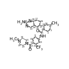 Cc1ccc(C(=O)Nc2ccc(C(=O)N3CCN(C)CC3)c(C(F)(F)F)c2)c(-c2ccc3nc(N)ncc3c2)c1